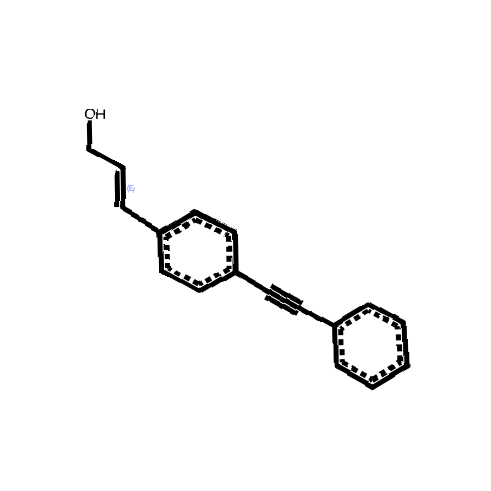 OC/C=C/c1ccc(C#Cc2ccccc2)cc1